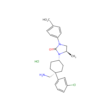 C[C@@H]1CN(c2ccc(C(=O)O)cc2)C(=O)N1[C@H]1CC[C@](CN)(c2cccc(Cl)c2)CC1.Cl